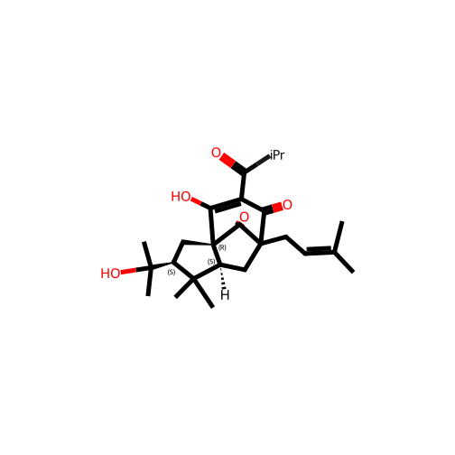 CC(C)=CCC12C[C@H]3C(C)(C)[C@@H](C(C)(C)O)C[C@]3(C1=O)C(O)=C(C(=O)C(C)C)C2=O